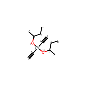 C#C[Si](C#C)(OC(C)CC)OC(C)CC